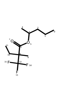 CCCC(C)OC(=O)C(C)(CC)C(F)(F)F